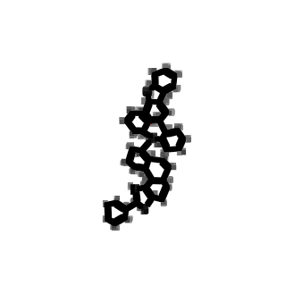 c1ccc(-c2nc3c(ccc4ccc5c(N(c6ccccc6)c6ccccc6-c6ccc7oc8ccccc8c7c6)cccc5c43)s2)cc1